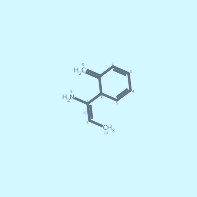 C=C1C=CC=CC1/C(N)=C\C